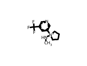 CN[N+]1(c2cncc(C(F)(F)F)c2)CCCC1